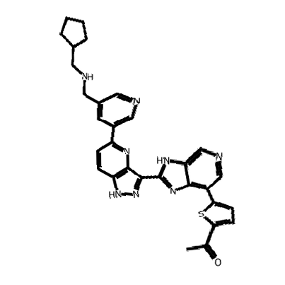 CC(=O)c1ccc(-c2cncc3[nH]c(-c4n[nH]c5ccc(-c6cncc(CNCC7CCCC7)c6)nc45)nc23)s1